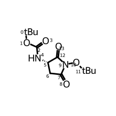 CC(C)(C)OC(=O)N[C@H]1CC(=O)N(OC(C)(C)C)C1=O